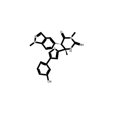 CN1C(=N)N[C@](C)(c2cc(-c3cccc(C#N)c3)cs2)[C@H](c2ccc3c(cnn3C)c2)C1=O